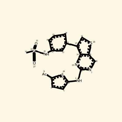 CC(=O)c1ccc(Nc2ncc3scc(-c4cccc(NS(C)(=O)=O)c4)c3n2)s1